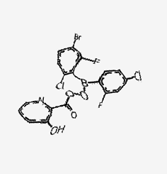 O=C(OOB(c1ccc(Cl)cc1F)c1c(Cl)ccc(Br)c1F)c1ncccc1O